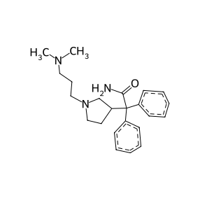 CN(C)CCCN1CCC(C(C(N)=O)(c2ccccc2)c2ccccc2)C1